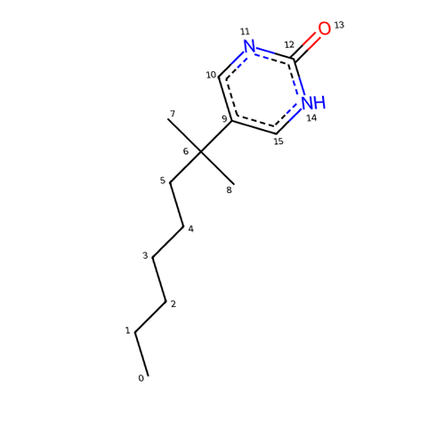 CCCCCCC(C)(C)c1cnc(=O)[nH]c1